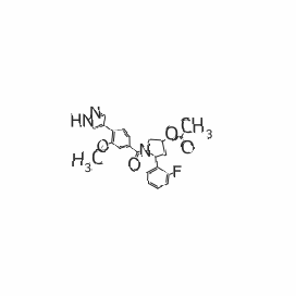 COc1cc(C(=O)N2CC(OC(C)=O)CC2c2ccccc2F)ccc1-c1cn[nH]c1